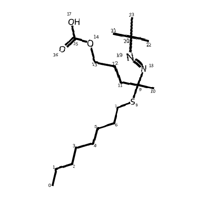 CCCCCCCCSC(C)(CCCOC(=O)O)N=NC(C)(C)C